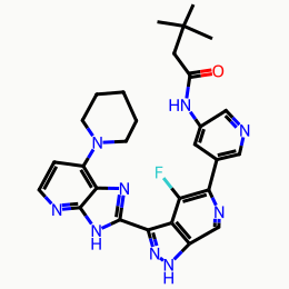 CC(C)(C)CC(=O)Nc1cncc(-c2ncc3[nH]nc(-c4nc5c(N6CCCCC6)ccnc5[nH]4)c3c2F)c1